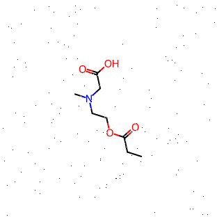 CCC(=O)OCCN(C)CC(=O)O